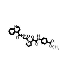 COC(=O)c1ccc(NC(=O)C(=O)C2CCCN2C(=O)CNC(=O)c2ccnc3ccccc23)cc1